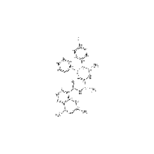 COc1ccnc(C(=O)N[C@@H](C)C(=O)O[C@@H](C)[C@H](Oc2ccccc2)c2ccc(F)cc2)c1OC(C)=O